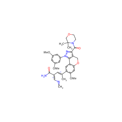 C=N/C=C(\C=C(/C)c1cc2c(cc1OC)OCc1c(C(=O)N3CCOCC3(C)C)nn(-c3cc(OC)cc(OC)c3)c1-2)C(N)=O